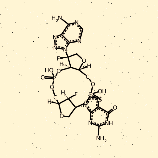 Nc1nc2c(ncn2[C@@]23CO[C@H](COP(=O)(O)O[C@@H]4[C@@H](COP(O)(=S)O2)OC[C@@]4(F)n2nnc4c(N)ncnc42)[C@H]3F)c(=O)[nH]1